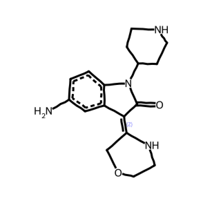 Nc1ccc2c(c1)/C(=C1\COCCN1)C(=O)N2C1CCNCC1